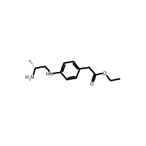 CCOC(=O)Cc1ccc(NC[C@@H](C)N)cc1